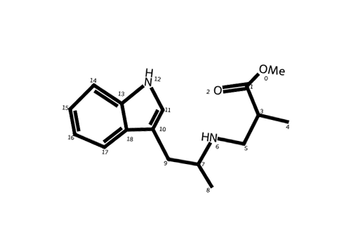 COC(=O)C(C)CNC(C)Cc1c[nH]c2ccccc12